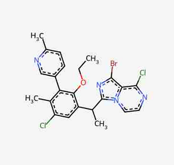 CCOc1c(C(C)c2nc(Br)c3c(Cl)nccn23)cc(Cl)c(C)c1-c1ccc(C)nc1